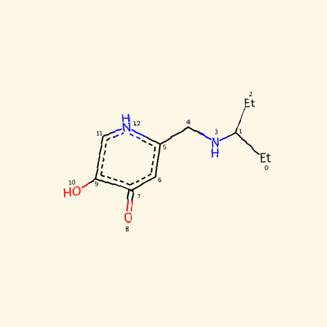 CCC(CC)NCc1cc(=O)c(O)c[nH]1